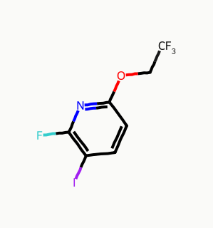 Fc1nc(OCC(F)(F)F)ccc1I